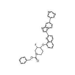 O=C(OCc1ccccc1)N1CCC(Oc2cccc3ccc(-c4cnc5cc(-c6cncnc6)ccn45)nc23)C(F)C1